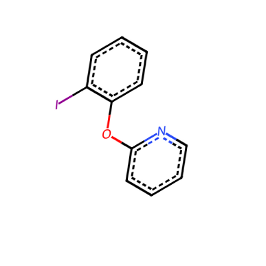 Ic1ccccc1Oc1ccccn1